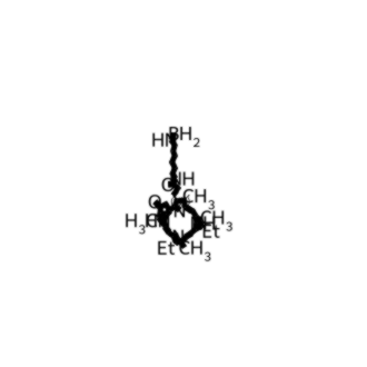 BNCCCCCCNC(=O)CC[C@@H]1c2nc(cc3[nH]c(cc4nc(cc5[nH]c6c2CC(=O)c6c5C)C(CC)=C4C)c(CC)c3C)[C@H]1C